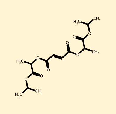 CC(C)OC(=O)C(C)OC(=O)/C=C/C(=O)OC(C)C(=O)OC(C)C